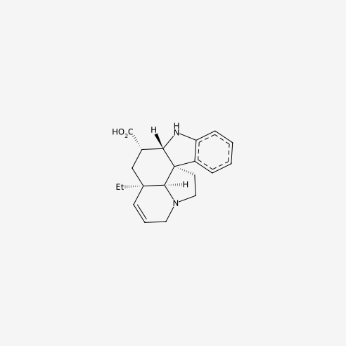 CC[C@]12C=CCN3CC[C@]4(c5ccccc5N[C@H]4[C@@H](C(=O)O)C1)[C@@H]32